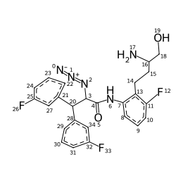 [N-]=[N+]=NC(C(=O)Nc1cccc(F)c1CCC(N)CO)C(c1cccc(F)c1)c1cccc(F)c1